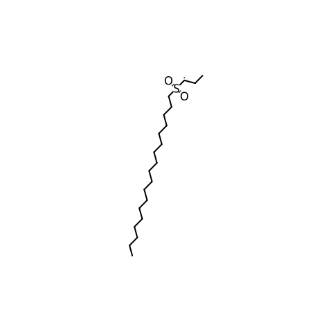 CC[CH]S(=O)(=O)CCCCCCCCCCCCCCCCCC